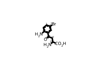 Nc1ccc(Br)cc1C(=O)CC(N)C(=O)O